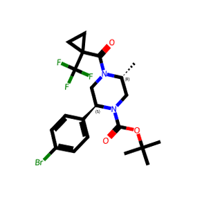 C[C@@H]1CN(C(=O)OC(C)(C)C)[C@@H](c2ccc(Br)cc2)CN1C(=O)C1(C(F)(F)F)CC1